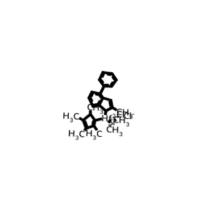 CC1=Cc2c(-c3ccccc3)cccc2[CH]1[Hf+2]([C]1=C(C)C(C)=C(C)C1C)=[Si](C)C.[Cl-].[Cl-]